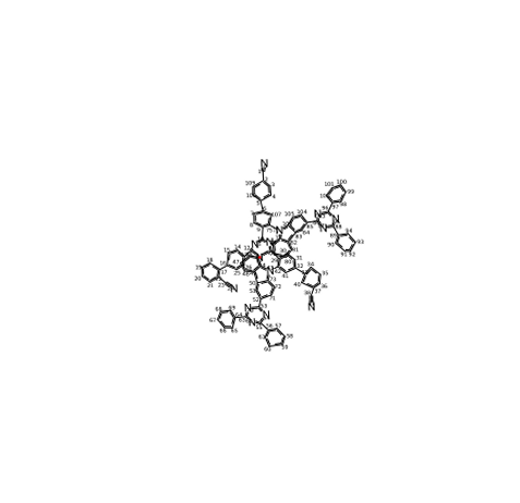 N#Cc1ccc(-c2ccc(-c3nc(-c4ccc(-c5ccccc5C#N)cc4)nc(-c4ccc(-c5cccc(C#N)c5)cc4-n4c5ccccc5c5cc(-c6nc(-c7ccccc7)nc(-c7ccccc7)n6)ccc54)n3)c(-n3c4ccccc4c4cc(-c5nc(-c6ccccc6)nc(-c6ccccc6)n5)ccc43)c2)cc1